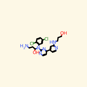 NCCC(O)N(c1nccc(-c2ccnc(NCCCO)c2)n1)c1cc(Cl)ccc1Cl